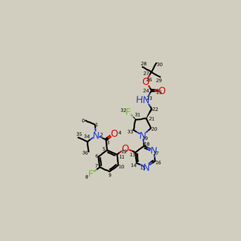 CCN(C(=O)c1cc(F)ccc1Oc1cncnc1N1C[C@H](CNC(=O)OC(C)(C)C)[C@H](F)C1)C(C)C